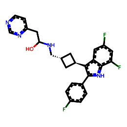 OC(Cc1ccncn1)NC[C@H]1C[C@H](c2c(-c3ccc(F)cc3)[nH]c3c(F)cc(F)cc32)C1